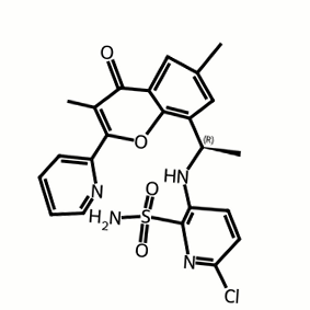 Cc1cc([C@@H](C)Nc2ccc(Cl)nc2S(N)(=O)=O)c2oc(-c3ccccn3)c(C)c(=O)c2c1